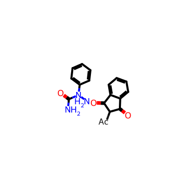 CC(=O)C1C(=O)c2ccccc2C1=O.NC(=O)N(N)c1ccccc1